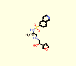 C[C@H](CNCC(O)c1ccoc1)NS(=O)(=O)c1ccc2cnccc2c1